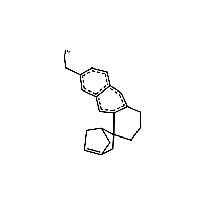 CC(C)Cc1ccc2cc3c(cc2c1)C1(CCC3)CC2=CCC1C2